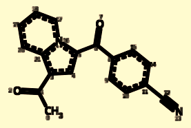 CC(=O)c1cc(C(=O)c2ccc(C#N)cc2)n2ccccc12